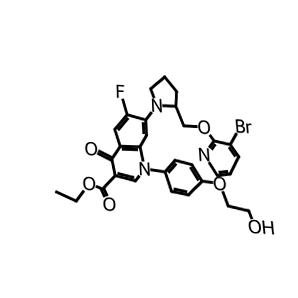 CCOC(=O)c1cn(-c2ccc(OCCO)cc2)c2cc(N3CCCC3COc3ncccc3Br)c(F)cc2c1=O